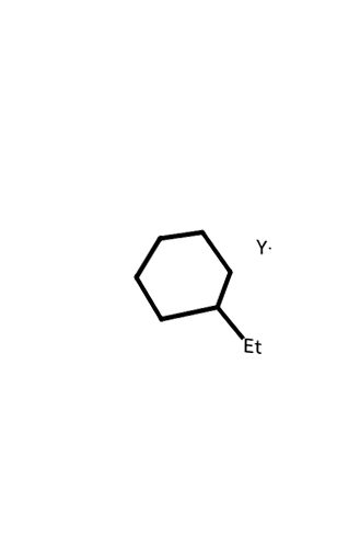 CCC1CCCCC1.[Y]